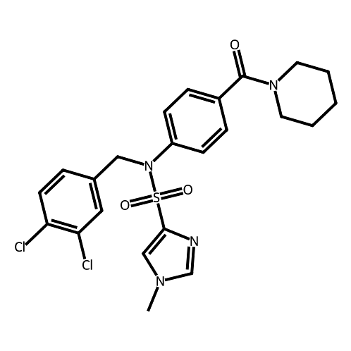 Cn1cnc(S(=O)(=O)N(Cc2ccc(Cl)c(Cl)c2)c2ccc(C(=O)N3CCCCC3)cc2)c1